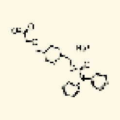 O=C([O-])COCC1CCC(COC(=O)N(c2ccccc2)c2ccccc2)CC1.[Na+]